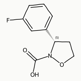 O=C(O)N1OCC[C@H]1c1cccc(F)c1